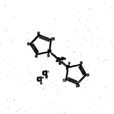 [Cl-].[Cl-].c1cc[p]([Zr+2][p]2cccc2)c1